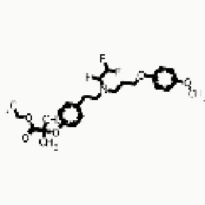 CCOC(=O)C(C)(C)Oc1ccc(CCN(CCCOc2ccc(OC)cc2)C(F)C(F)F)cc1